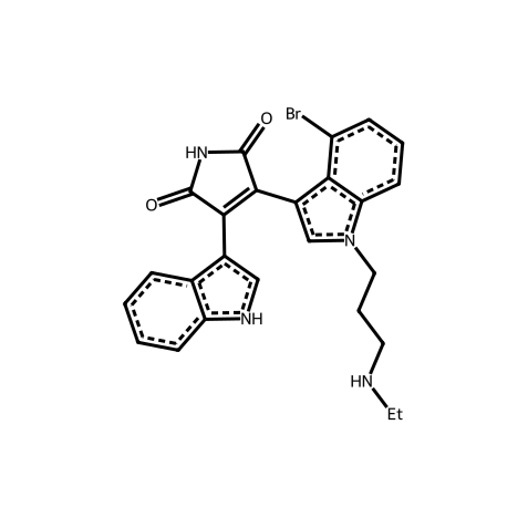 CCNCCCn1cc(C2=C(c3c[nH]c4ccccc34)C(=O)NC2=O)c2c(Br)cccc21